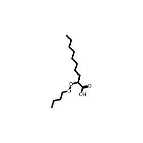 CCCCCCCCC(OOCCCC)C(=O)O